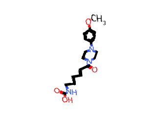 COc1ccc(N2CCN(C(=O)CCCCCNC(=O)O)CC2)cc1